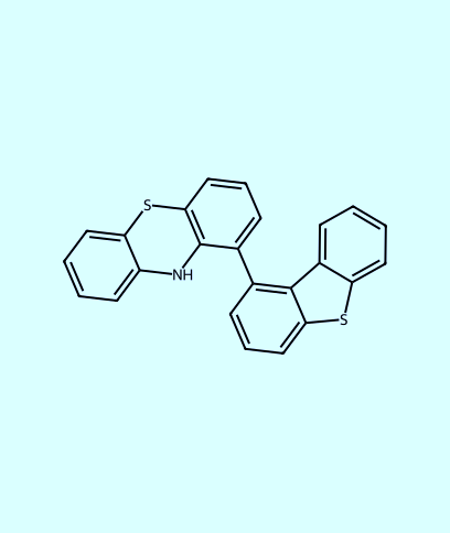 c1ccc2c(c1)Nc1c(cccc1-c1cccc3sc4ccccc4c13)S2